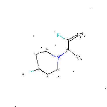 C=C(F)C(N1CCC(F)CC1)C(F)(F)F